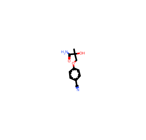 CC(O)(COc1ccc(C#N)cc1)C(N)=O